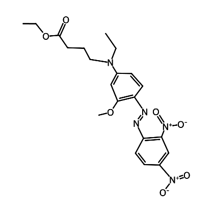 CCOC(=O)CCCN(CC)c1ccc(N=Nc2ccc([N+](=O)[O-])cc2[N+](=O)[O-])c(OC)c1